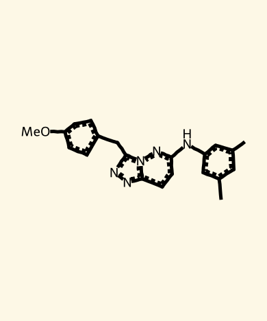 COc1ccc(Cc2nnc3ccc(Nc4cc(C)cc(C)c4)nn23)cc1